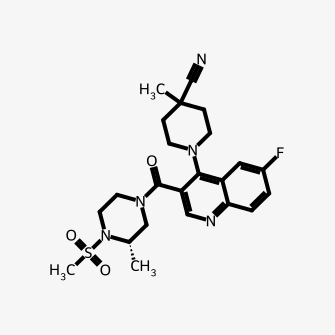 C[C@H]1CN(C(=O)c2cnc3ccc(F)cc3c2N2CCC(C)(C#N)CC2)CCN1S(C)(=O)=O